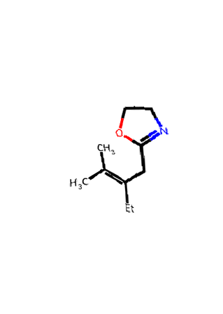 CCC(CC1=NCCO1)=C(C)C